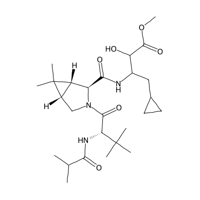 COC(=O)C(O)C(CC1CC1)NC(=O)[C@@H]1[C@@H]2[C@H](CN1C(=O)[C@@H](NC(=O)C(C)C)C(C)(C)C)C2(C)C